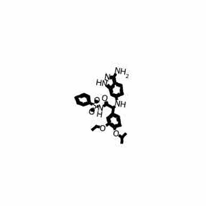 CCOc1cc(C(Nc2ccc3c(N)n[nH]c3c2)C(=O)NS(=O)(=O)c2ccccc2)ccc1OC(C)C